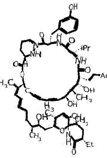 CC[C@H]1C[C@H](C)[C@@]2(NC1=O)O[C@@H](C[C@H](O)[C@@H](C)CC/C=C/C=C(/C)[C@@H]1CC=CC=C[C@H](O)[C@H](C)[C@@H](O)[C@@H](CCC(C)=O)C(=O)N[C@@H](C(C)C)C(=O)N[C@@H](Cc3cccc(O)c3)C(=O)N3CCC[C@H](N3)C(=O)O1)[C@H](C)C=C2C